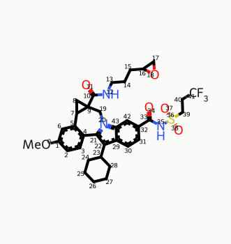 COc1ccc2c(c1)C1CC1(C(=O)NCCCC1CO1)Cn1c-2c(C2CCCCC2)c2ccc(C(=O)NS(=O)(=O)CCC(F)(F)F)cc21